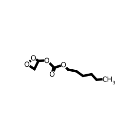 CCCCCCOC(=O)OC1COO1